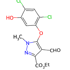 CCOC(=O)c1nn(C)c(Oc2cc(O)c(Cl)cc2Cl)c1C=O